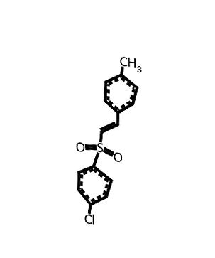 Cc1ccc(/C=C/S(=O)(=O)c2ccc(Cl)cc2)cc1